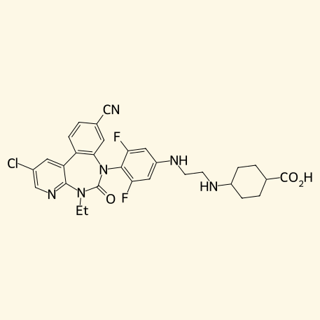 CCN1C(=O)N(c2c(F)cc(NCCNC3CCC(C(=O)O)CC3)cc2F)c2cc(C#N)ccc2-c2cc(Cl)cnc21